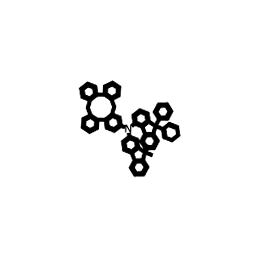 CC1(C)c2ccccc2-c2ccc(N(c3ccc4c(c3)Cc3ccccc3-c3ccccc3Cc3ccccc3-4)c3cccc4c3-c3ccccc3C4(C3=CCCC=C3)c3ccccc3)cc21